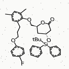 Cc1cc(C)c(OC[C@@H]2C[C@@H](O[Si](c3ccccc3)(c3ccccc3)C(C)(C)C)CC(=O)O2)c(CCCOc2ccc(F)cc2)c1